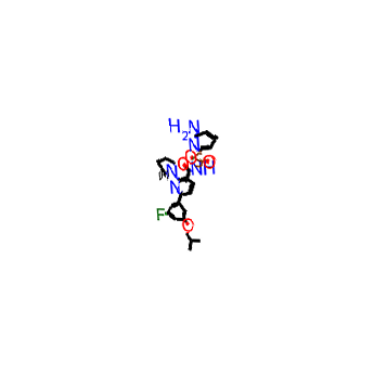 CC(C)COc1cc(F)cc(-c2ccc(C(=O)NS(=O)(=O)c3cccc(N)n3)c(N3CCC[C@H]3C)n2)c1